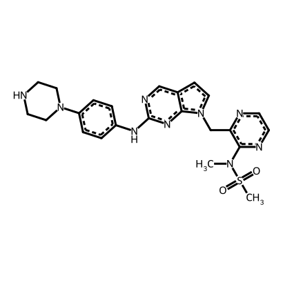 CN(c1nccnc1Cn1ccc2cnc(Nc3ccc(N4CCNCC4)cc3)nc21)S(C)(=O)=O